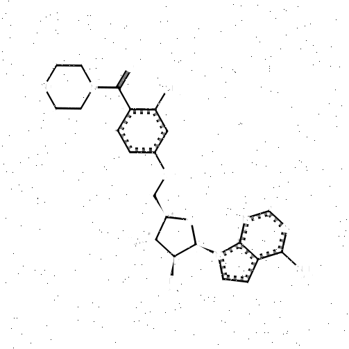 Nc1cc(OC[C@H]2O[C@@H](n3ccc4c(N)ncnc43)[C@@H](F)[C@@H]2O)ccc1C(=O)N1CCNCC1